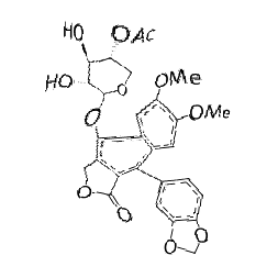 COc1cc2c(OC3OC[C@@H](OC(C)=O)[C@H](O)[C@H]3O)c3c(c(-c4ccc5c(c4)OCO5)c2cc1OC)C(=O)OC3